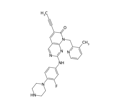 CC#Cc1cc2cnc(Nc3ccc(N4CCNCC4)c(F)c3)nc2n(Cc2ncccc2C)c1=O